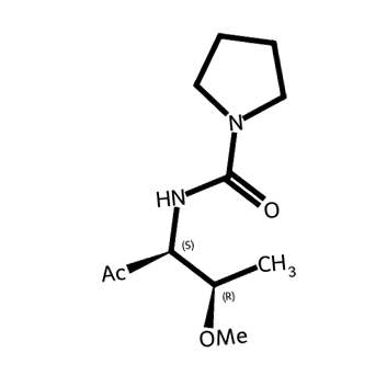 CO[C@H](C)[C@H](NC(=O)N1CCCC1)C(C)=O